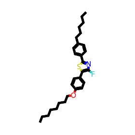 CCCCCCCCOc1ccc(-c2sc(-c3ccc(CCCCCC)cc3)nc2F)cc1